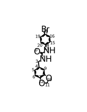 O=C(NCc1ccc2c(c1)OCO2)Nc1ccc(Br)cc1